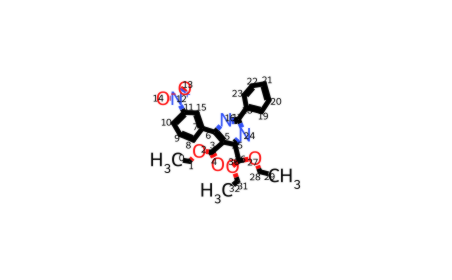 CCOC(=O)c1c(-c2cccc([N+](=O)[O-])c2)nc(-c2ccccc2)nc1C(OCC)OCC